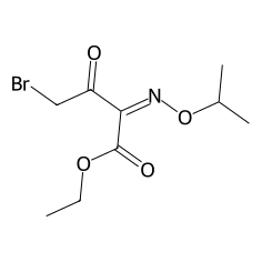 CCOC(=O)/C(=N\OC(C)C)C(=O)CBr